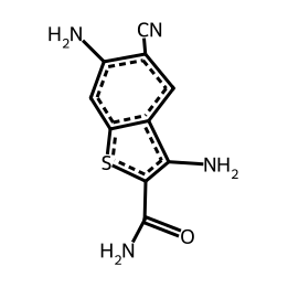 N#Cc1cc2c(N)c(C(N)=O)sc2cc1N